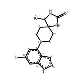 O=C1NC(O)C2(CCN(c3cc(Cl)cc4[nH]ncc34)CC2)N1